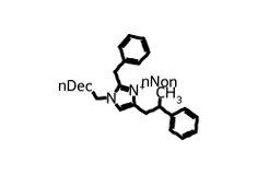 CCCCCCCCCCCn1cc(CC(C)c2ccccc2)[n+](CCCCCCCCC)c1Cc1ccccc1